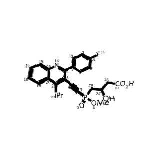 COP(=O)(C#Cc1c(-c2ccc(F)cc2)nc2ccccc2c1C(C)C)CC(O)CC(=O)O